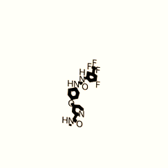 CNC(=O)c1cc(Oc2ccc(NC(=O)Nc3cc(F)cc(C(F)(F)F)c3)cc2)ccn1